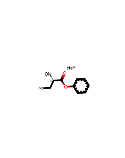 CC(C)C[C@H](N=O)C(=O)Oc1ccccc1.[NaH]